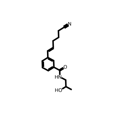 CC(O)CNC(=O)c1cccc(C=CCCCC#N)c1